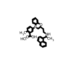 Cc1ccc(N2CC(CCN[C@@H](C)c3cccc4ccccc34)Oc3ccccc32)cc1C(=O)O.Cl